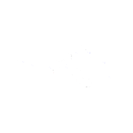 CN1CCN(CCCNC(=O)c2cn3c4c(c(N5CC[C@@H](NC(=O)CCNCCC6CCCN6C)C5)c(F)cc4c2=O)Oc2cc4c(cc2-3)oc2ccccc24)CC1